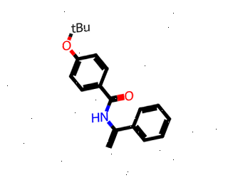 C=C(NC(=O)c1ccc(OC(C)(C)C)cc1)c1ccccc1